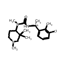 Cc1c(Cl)cccc1[C@@H](C)NC(=O)N(C)C1CCN(C)CC1(C)C